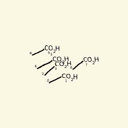 CC(=O)O.CC(=O)O.CC(=O)O.CC(=O)O.CC(=O)O